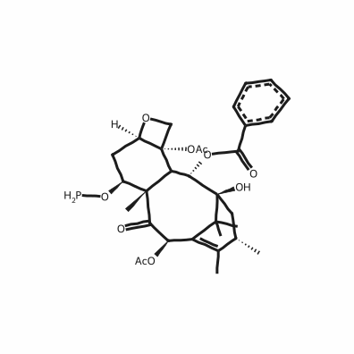 CC(=O)O[C@H]1C(=O)[C@@]2(C)C([C@H](OC(=O)c3ccccc3)[C@]3(O)C[C@H](C)C(C)=C1C3(C)C)[C@]1(OC(C)=O)CO[C@@H]1C[C@@H]2OP